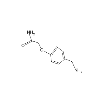 NCc1ccc(OCC(N)=O)cc1